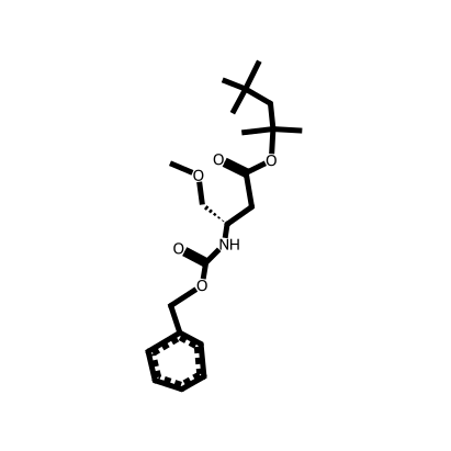 COC[C@H](CC(=O)OC(C)(C)CC(C)(C)C)NC(=O)OCc1ccccc1